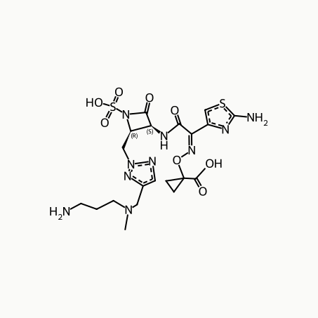 CN(CCCN)Cc1cnn(C[C@@H]2[C@H](NC(=O)C(=NOC3(C(=O)O)CC3)c3csc(N)n3)C(=O)N2S(=O)(=O)O)n1